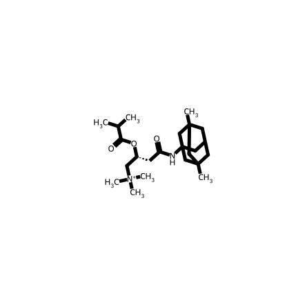 CC(C)C(=O)O[C@H](CC(=O)NC12CC3CC(C)(CC(C)(C3)C1)C2)C[N+](C)(C)C